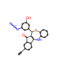 C#Cc1ccc2c(c1)C(=O)C1=C2Nc2ccccc2SC1c1cc(O)cc(N=[N+]=[N-])c1